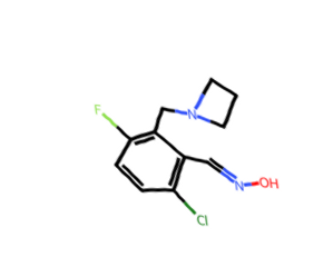 O/N=C/c1c(Cl)ccc(F)c1CN1CCC1